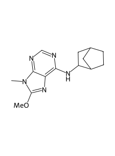 COc1nc2c(NC3CC4CCC3C4)ncnc2n1C